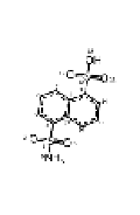 NS(=O)(=O)c1cccc2c(S(=O)(=O)O)cccc12